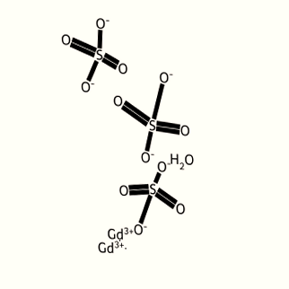 O.O=S(=O)([O-])[O-].O=S(=O)([O-])[O-].O=S(=O)([O-])[O-].[Gd+3].[Gd+3]